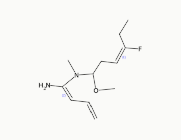 C=C/C=C(/N)N(C)C(C/C=C(/F)CC)OC